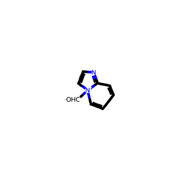 O=[C][N+]12C=CC=CC1=NC=C2